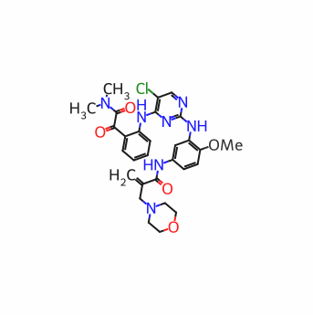 C=C(CN1CCOCC1)C(=O)Nc1ccc(OC)c(Nc2ncc(Cl)c(Nc3ccccc3C(=O)C(=O)N(C)C)n2)c1